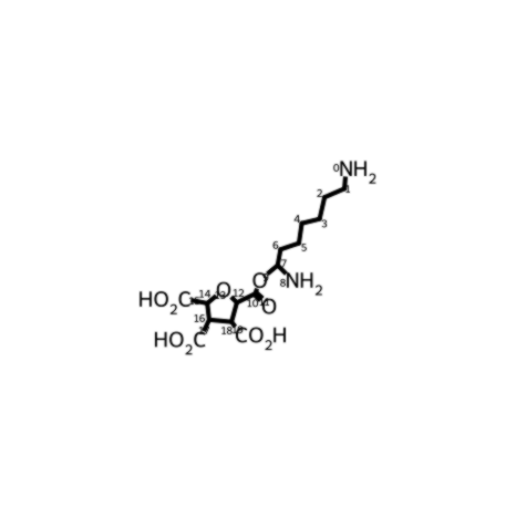 NCCCCCCC(N)OC(=O)C1OC(C(=O)O)C(C(=O)O)C1C(=O)O